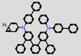 C1=C[C@@H]2C=C2C=C1N(c1ccc(-c2ccccc2)cc1)c1ccc(-c2ccccc2-c2ccc(N(c3ccccc3)c3ccc(-c4ccccc4)cc3)cc2-c2ccccc2)c(-c2ccccc2)c1